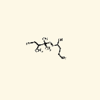 CC(C)CCC(C#N)N=NC(C)(C#N)C(C)CC(C)C